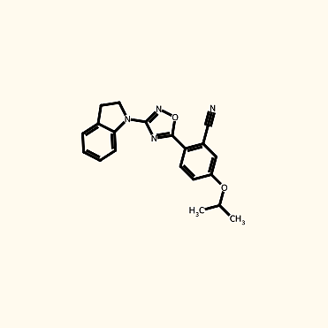 CC(C)Oc1ccc(-c2nc(N3CCc4ccccc43)no2)c(C#N)c1